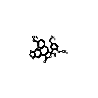 COc1ccc(OC)c(C2(O)OC(=O)C(c3ccc4nsnc4c3)=C2Cc2ccc(OC)nc2)c1